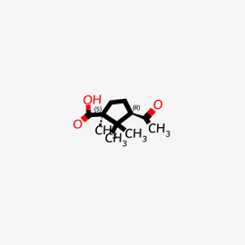 CC(=O)[C@@H]1CC[C@](C)(C(=O)O)C1(C)C